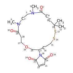 CN1CCN(C)C(=O)CCC(C)(C)SSC[CH]C(N2C(=O)C=CC2=O)COCCC1=O